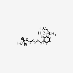 CCC(C)(C)c1cccc(CCCC=CCS(=O)(=O)O)c1